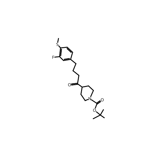 CSc1ccc(CCCC(=O)C2CCN(C(=O)OC(C)(C)C)CC2)cc1F